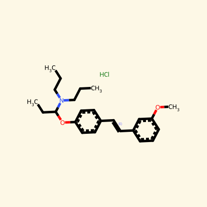 CCCN(CCC)C(CC)Oc1ccc(/C=C/c2cccc(OC)c2)cc1.Cl